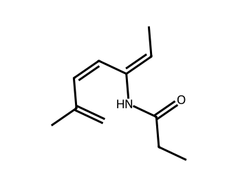 C=C(C)/C=C\C(=C/C)NC(=O)CC